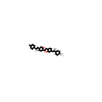 [C-]#[N+]/C(=C\c1ccc2c(c1)oc1c3ccc(/C=C(\C#N)c4ccc(C)cc4)cc3oc21)c1ccc(C(F)(F)F)cc1